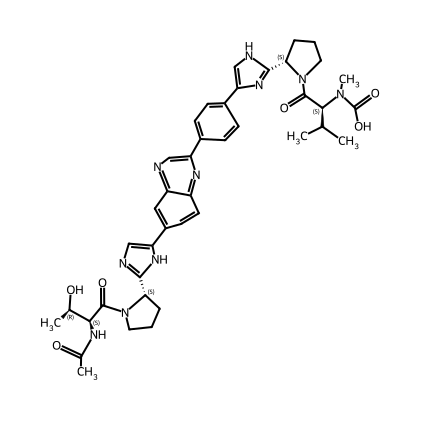 CC(=O)N[C@H](C(=O)N1CCC[C@H]1c1ncc(-c2ccc3nc(-c4ccc(-c5c[nH]c([C@@H]6CCCN6C(=O)[C@H](C(C)C)N(C)C(=O)O)n5)cc4)cnc3c2)[nH]1)[C@@H](C)O